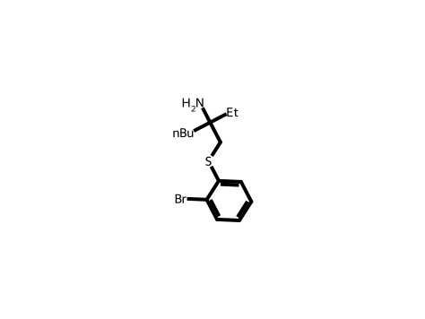 CCCCC(N)(CC)CSc1ccccc1Br